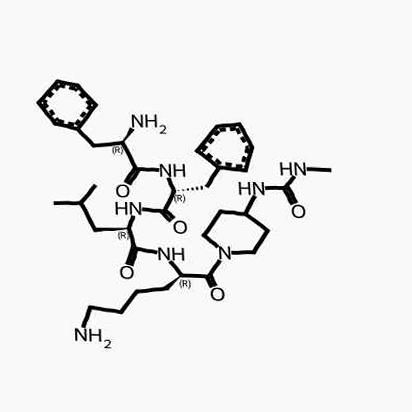 CNC(=O)NC1CCN(C(=O)[C@@H](CCCCN)NC(=O)[C@@H](CC(C)C)NC(=O)[C@@H](Cc2ccccc2)NC(=O)[C@H](N)Cc2ccccc2)CC1